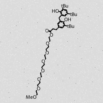 COCCOCCOCCOCCOCCOCCOCCOC(=O)CCc1cc(Cc2cc(C(C)(C)C)cc(C(C)(C)C)c2O)c(O)c(C(C)(C)C)c1